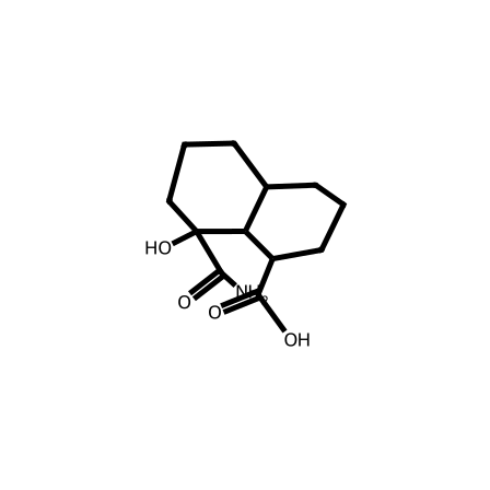 NC(=O)C1(O)CCCC2CCCC(C(=O)O)C21